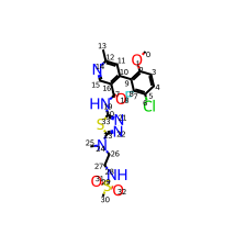 COc1ccc(Cl)c(F)c1-c1cc(C)ncc1C(=O)Nc1nnc(N(C)CCNS(C)(=O)=O)s1